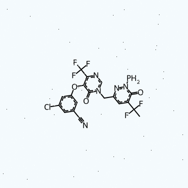 CC(F)(F)c1cc(Cn2cnc(C(F)(F)F)c(Oc3cc(Cl)cc(C#N)c3)c2=O)nn(P)c1=O